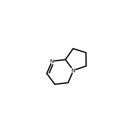 C1=NC2CCCN2CC1